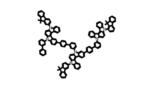 CC1(C)c2ccccc2-c2cc(-n3c4ccccc4c4c5c6ccc(-c7ccc(-c8cccc(-n9c%10ccccc%10c%10c%11c%12ccccc%12n(-c%12cccc%13c%12C(C)(C)c%12ccccc%12-%13)c%11ccc%109)c8)cc7)cc6n(-c6cccc(-c7ccc(-c8ccc9c(c8)c8c%10c%11ccccc%11n(-c%11ccc%12c(c%11)C(C)(C)c%11ccccc%11-%12)c%10ccc8n9-c8cccc(-c9ccccc9)c8)cc7)c6)c5ccc43)ccc21